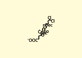 CC(=O)[O-].CCCCCCCCCCCCCCCCCC(=O)[O-].ClC(Cl)CCCC[CH2][Co].[Co+2]